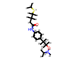 CC(C)SC(C)(C)C(C)(C)CC(=O)Nc1ccc(C(C)(C)C(C)(C)ON(C)C(C)C)cc1